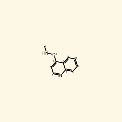 CNOc1ccnc2ccccc12